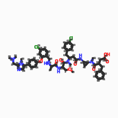 COCC(NC(=O)C(C)NCc1ccc(Cl)cc1Oc1ccc(-c2cnc(CN(C)C)n2C)cc1)C(=O)N(C)C(CC(=O)N[C@@H]1C[C@@H]1N(C)C(=O)C(CC(=O)O)Cc1ccccc1)Cc1ccc(Cl)cc1